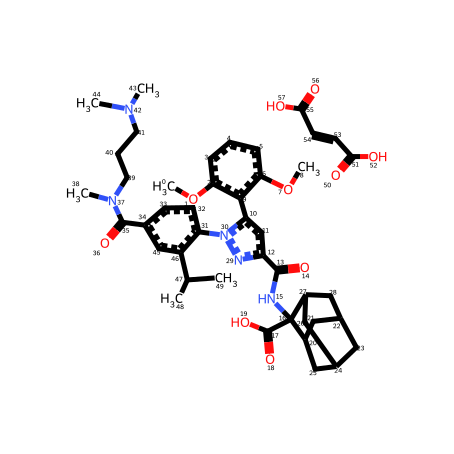 COc1cccc(OC)c1-c1cc(C(=O)NC2(C(=O)O)C3CC4CC(C3)CC2C4)nn1-c1ccc(C(=O)N(C)CCCN(C)C)cc1C(C)C.O=C(O)C=CC(=O)O